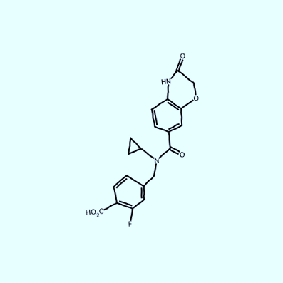 O=C1COc2cc(C(=O)N(Cc3ccc(C(=O)O)c(F)c3)C3CC3)ccc2N1